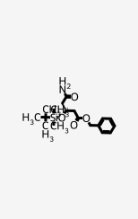 CC(C)(C)[Si](C)(C)O[C@@H](CC(N)=O)CC(=O)OCc1ccccc1